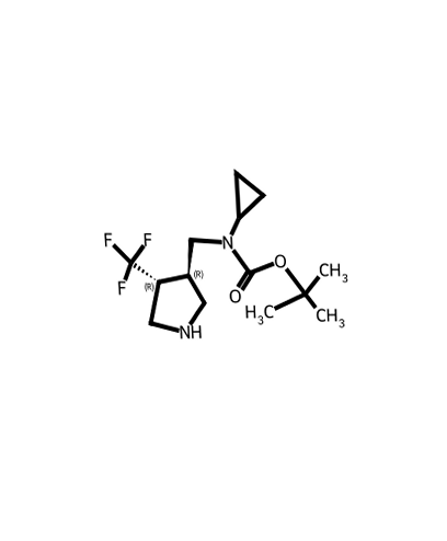 CC(C)(C)OC(=O)N(C[C@H]1CNC[C@@H]1C(F)(F)F)C1CC1